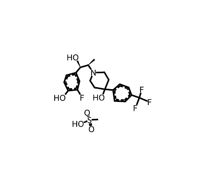 CS(=O)(=O)O.C[C@H]([C@H](O)c1ccc(O)c(F)c1)N1CCC(O)(c2ccc(C(F)(F)F)cc2)CC1